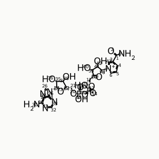 NC(=O)c1ccc[n+]([C@H]2O[C@@H](COP(=O)(O)OP(=O)(O)OC[C@@H]3O[C@H](n4cnc5c(N)ncnc54)C(O)C3O)C(O)C2O)c1